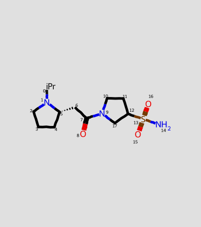 CC(C)N1CCC[C@H]1CC(=O)N1CCC(S(N)(=O)=O)C1